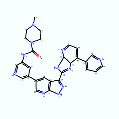 CN1CCN(C(=O)Nc2cncc(-c3cnc4[nH]nc(C5=NC6C(c7cccnc7)=CC=NC6N5)c4c3)c2)CC1